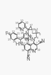 CC(C)(C)CNc1c(C#N)cnc2c(C#N)cc(NC(c3ccc(F)cc3)c3cn(C4(c5ccccn5)CC4)nn3)cc12